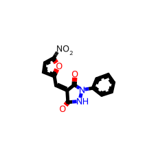 O=C1NN(c2ccccc2)C(=O)C1=Cc1ccc([N+](=O)[O-])o1